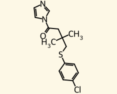 CC(C)(CSc1ccc(Cl)cc1)CC(=O)n1ccnc1